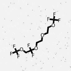 FC(F)(F)OCCOCCOC(F)(F)COC(F)(F)F